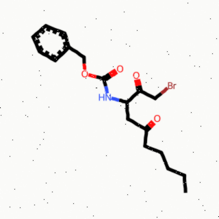 CCCCCC(=O)CC(NC(=O)OCc1ccccc1)C(=O)CBr